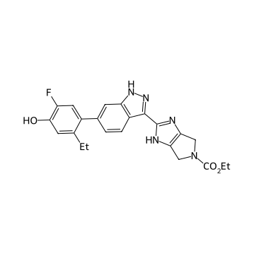 CCOC(=O)N1Cc2nc(-c3n[nH]c4cc(-c5cc(F)c(O)cc5CC)ccc34)[nH]c2C1